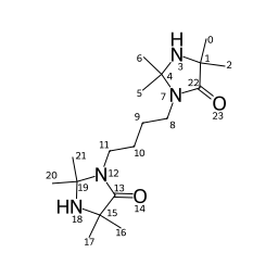 CC1(C)NC(C)(C)N(CCCCN2C(=O)C(C)(C)NC2(C)C)C1=O